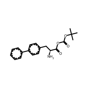 CC(C)(C)OC(=O)OC(=O)[C@@H](N)Cc1ccc(-c2ccccc2)cc1